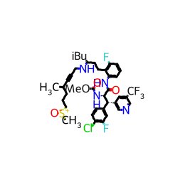 CCC(C)C(CCc1c(F)cccc1NC(=O)[C@@H](NC(=O)OC)[C@H](c1cncc(C(F)(F)F)c1)c1ccc(Cl)c(F)c1)NCC#CC(C)CCC[S+](C)[O-]